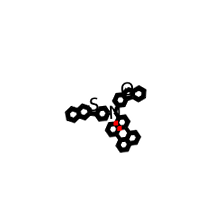 c1ccc(-c2cccc3cccc(-c4ccc(N(c5ccc6c(c5)sc5cc7ccccc7cc56)c5ccc6oc7ccccc7c6c5)cc4)c23)cc1